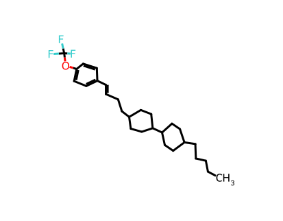 CCCCCC1CCC(C2CCC(CCC=Cc3ccc(OC(F)(F)F)cc3)CC2)CC1